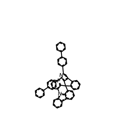 c1ccc(-c2ccc(-c3cc4c(c(-c5ccc(-c6ccccc6)cc5)n3)C3(c5ccccc5-4)c4pcccc4-n4c5ccccc5c5cccc3c54)cc2)cc1